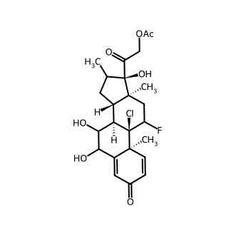 CC(=O)OCC(=O)[C@@]1(O)C(C)C[C@H]2[C@@H]3C(O)C(O)C4=CC(=O)C=C[C@]4(C)[C@@]3(Cl)C(F)C[C@@]21C